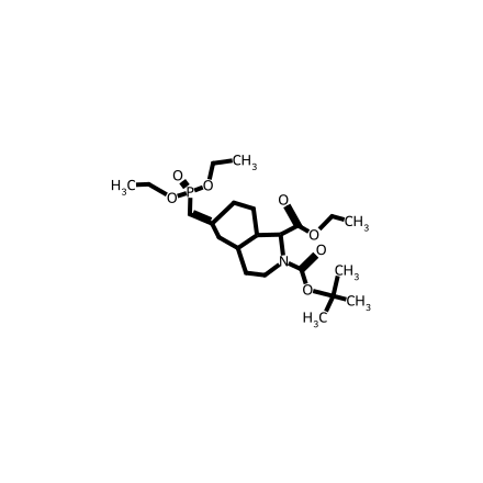 CCOC(=O)C1C2CCC(=CP(=O)(OCC)OCC)CC2CCN1C(=O)OC(C)(C)C